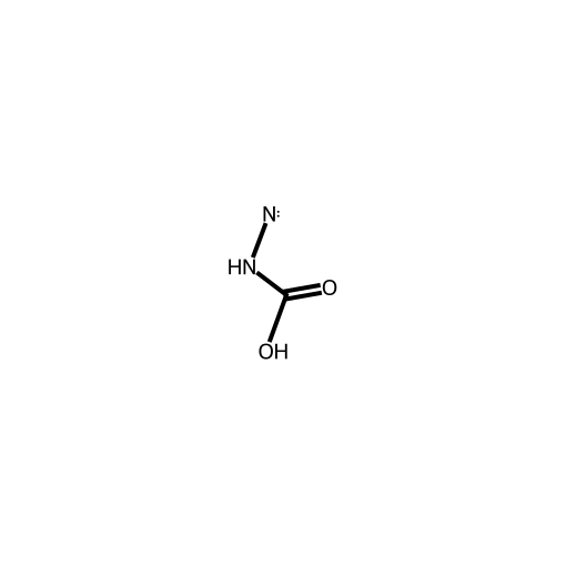 [N]NC(=O)O